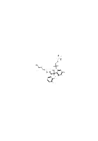 CC(C)(CCNS(C)(=O)=O)C[C@@H]1N[C@@H](C(=O)NCC[C@H](O)CO)[C@H](c2cccc(Cl)c2F)[C@@]1(N)c1ccc(Cl)cc1F